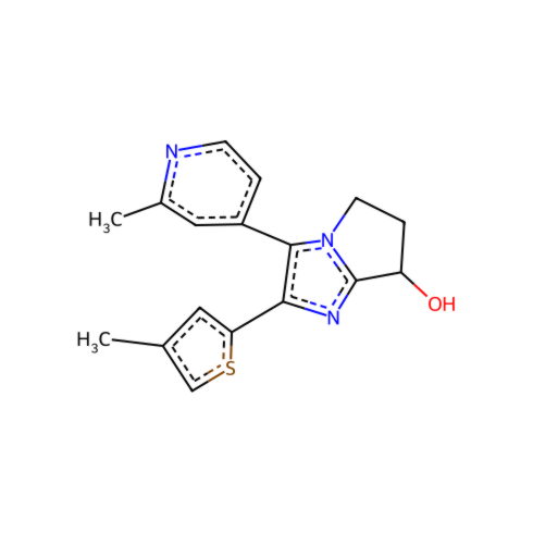 Cc1csc(-c2nc3n(c2-c2ccnc(C)c2)CCC3O)c1